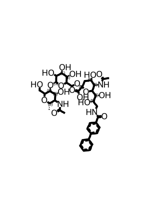 CC(=O)NC1[C@H](C)OC(CO)[C@@H](O[C@@H]2OC(CO[C@]3(C(=O)O)C[C@@H](O)[C@@H](NC(C)=O)C([C@H](O)[C@H](O)CNC(=O)c4ccc(-c5ccccc5)cc4)O3)[C@H](O)[C@H](O)C2O)[C@@H]1O